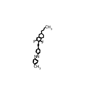 CCCCC1CCc2c(cc(F)c(C#Cc3ccc(N=Nc4ccc(C)cc4)cc3)c2F)C1